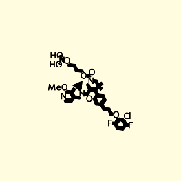 COc1nccc(CN(C(=O)C2=C(c3ccc(CCCOc4c(F)ccc(F)c4Cl)cc3)C(C)(C)CN(C(=O)OCCCCON(O)O)C2)C2CC2)c1C